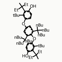 CCCCC(CCCC)(CCCC)c1cc(Oc2ccc(O)c(C(C)(CC)CC)c2C(C)(C)C)cc(C(CCCC)(CCCC)CCCC)c1Oc1ccc(O)c(C(C)(CC)CC)c1C(C)(C)C